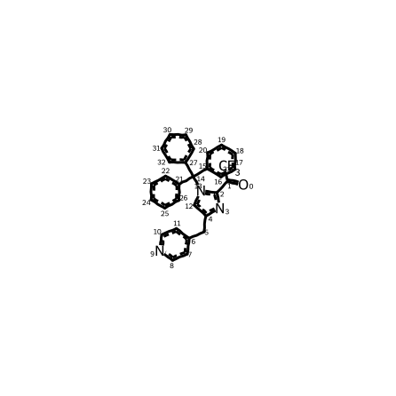 O=C(c1nc(Cc2ccncc2)cn1C(c1ccccc1)(c1ccccc1)c1ccccc1)C(F)(F)F